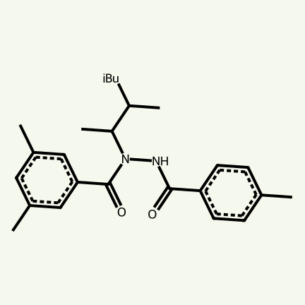 CCC(C)C(C)C(C)N(NC(=O)c1ccc(C)cc1)C(=O)c1cc(C)cc(C)c1